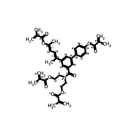 C=C(C)C(=O)OCCN(CCOC(=O)C(=C)C)C(=O)c1cc(/C(C)=C/C=C(\C)OC(=O)C(=C)C)cc(-c2ccc(OC(=O)C(=C)C)cc2)c1